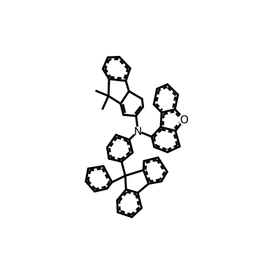 CC1(C)C2=CC(N(c3cccc(C4(c5ccccc5)c5ccccc5-c5ccccc54)c3)c3cccc4oc5ccccc5c34)=CCC2c2ccccc21